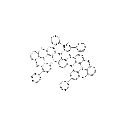 c1ccc(-c2cc3c4c(c2)B2c5ccc6c7c5N(c5ccc8c(c52)N4c2c(cccc2S8)S3)c2c(-c3ccccc3)sc(-c3ccccc3)c2N7c2ccc3c4c2B6c2ccc(-c5ccccc5)c5c2N4c2c(cccc2S5)S3)cc1